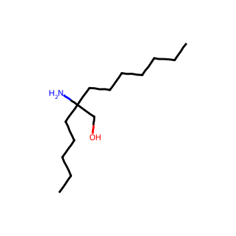 CCCCCCCC(N)(CO)CCCCC